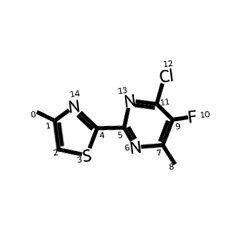 Cc1csc(-c2nc(C)c(F)c(Cl)n2)n1